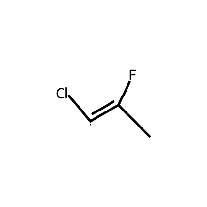 C/C(F)=[C]/Cl